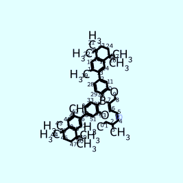 CCC(C)/C=C\C1=C2COc3cc(-c4cc5c(cc4C)C(C)(C)CCC5(C)C)ccc3B2c2ccc(-c3cc4c(cc3C)C(C)(C)CCC4(C)C)cc2O1